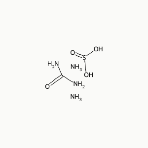 N.N.NC(N)=O.O=S(O)O